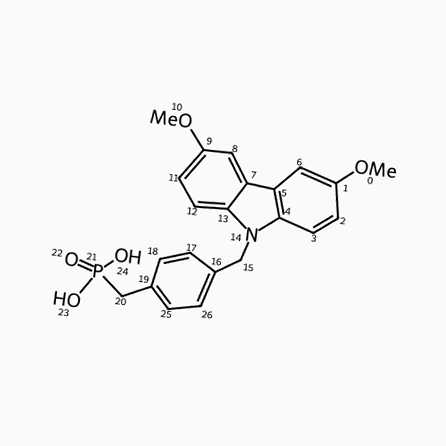 COc1ccc2c(c1)c1cc(OC)ccc1n2Cc1ccc(CP(=O)(O)O)cc1